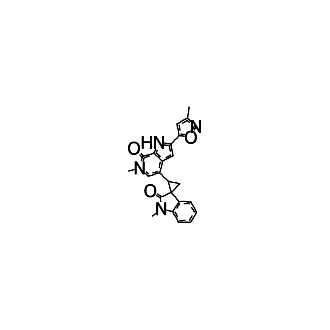 Cc1cc(-c2cc3c(C4CC45C(=O)N(C)c4ccccc45)cn(C)c(=O)c3[nH]2)on1